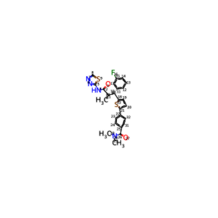 C[C@@H](C(=O)Nc1nncs1)[C@H](c1cccc(F)c1)c1ccc(-c2ccc(C(=O)N(C)C)cc2)s1